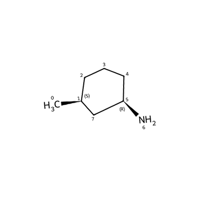 C[C@H]1CCC[C@@H](N)C1